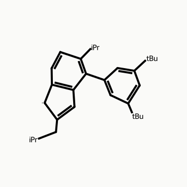 CC(C)CC1=Cc2c(ccc(C(C)C)c2-c2cc(C(C)(C)C)cc(C(C)(C)C)c2)[CH]1